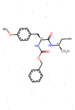 CC(C)C[C@H](NC(=O)[C@H](Cc1ccc(OC(C)(C)C)cc1)NC(=O)OCc1ccccc1)C(=O)O